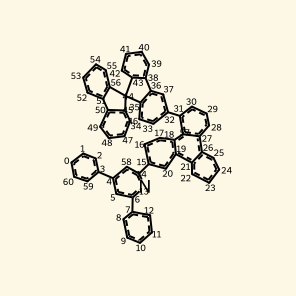 c1ccc(-c2cc(-c3ccccc3)nc(-c3ccc4c(c3)c3ccccc3c3cccc(-c5ccc6c(c5)-c5ccccc5C65c6ccccc6-c6ccccc65)c34)c2)cc1